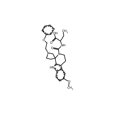 CCC(NC(=O)N1CCc2c([nH]c3ccc(OC)cc23)C12CCN(CCOc1ccccc1)C2)C(=O)O